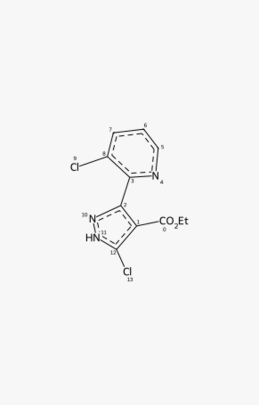 CCOC(=O)c1c(-c2ncccc2Cl)n[nH]c1Cl